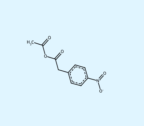 CC(=O)OC(=O)Cc1ccc([N+](=O)[O-])cc1